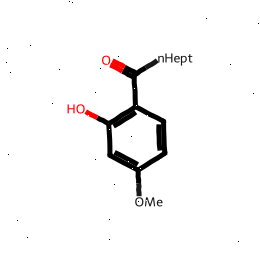 CCCCCCCC(=O)c1ccc(OC)cc1O